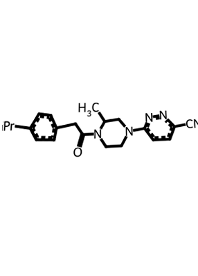 CC(C)c1ccc(CC(=O)N2CCN(c3ccc(C#N)nn3)CC2C)cc1